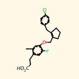 Cc1cc(OCC2=C(Cc3ccc(Cl)cc3)CCC2)c(F)cc1CCC(=O)O